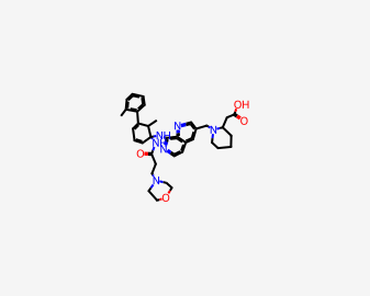 Cc1ccccc1C1=CC=CC(NC(=O)CCN2CCOCC2)(Nc2nccc3cc(CN4CCCCC4CC(=O)O)cnc23)C1C